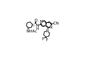 CC(=O)N[C@@H]1CCC[C@H](C(=O)Nc2cc3c(N4CCC(F)(F)CC4)nc(C#N)cc3cn2)C1